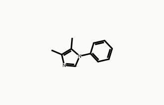 Cc1n[c]n(-c2ccccc2)c1C